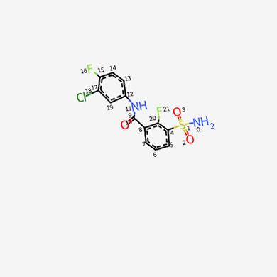 NS(=O)(=O)c1cccc(C(=O)Nc2ccc(F)c(Cl)c2)c1F